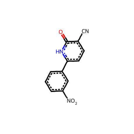 N#Cc1ccc(-c2cccc([N+](=O)[O-])c2)[nH]c1=O